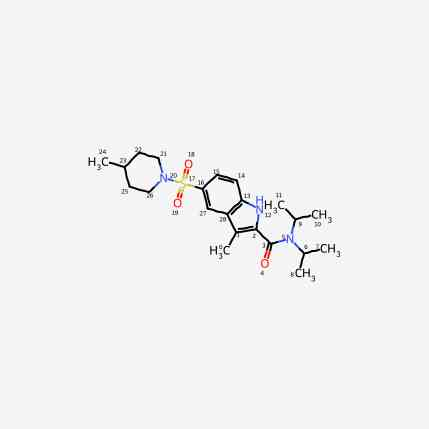 Cc1c(C(=O)N(C(C)C)C(C)C)[nH]c2ccc(S(=O)(=O)N3CCC(C)CC3)cc12